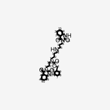 O=C(OCc1ccccc1)N(CCCCNCCCn1c(=O)[nH]c2ccccc2c1=O)CCCn1c(=O)[nH]c2ccccc2c1=O